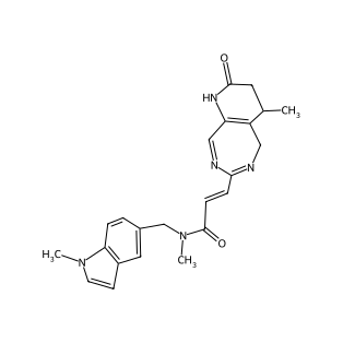 CC1CC(=O)NC2=C1CN=C(/C=C/C(=O)N(C)Cc1ccc3c(ccn3C)c1)N=C2